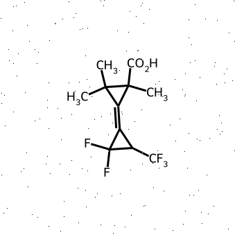 CC1(C)C(=C2C(C(F)(F)F)C2(F)F)C1(C)C(=O)O